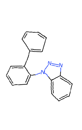 c1ccc(-c2ccccc2-n2nnc3ccccc32)cc1